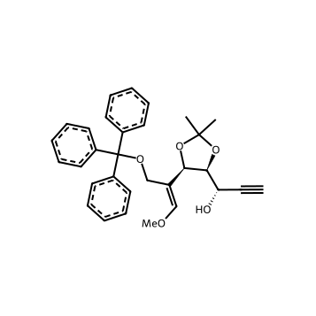 C#C[C@H](O)[C@@H]1OC(C)(C)O[C@@H]1/C(=C/OC)COC(c1ccccc1)(c1ccccc1)c1ccccc1